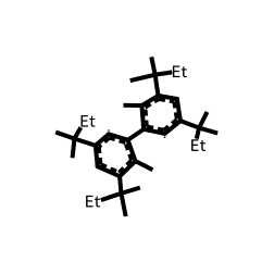 CCC(C)(C)c1[c]c(-c2[c]c(C(C)(C)CC)cc(C(C)(C)CC)c2C)c(C)c(C(C)(C)CC)c1